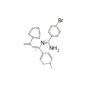 C=C(/C=C(\N=C(/N)c1ccc(Br)cc1)C1=CCC(C)C=C1)c1ccccc1